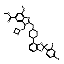 COC(=O)c1cc(OC)c2nc(CN3CCC(c4cccc5c4OC(C)(c4ccc(Cl)cc4F)O5)CC3)n(C[C@@H]3CCO3)c2c1